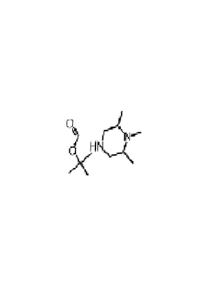 CC(C)(C)OC=O.CC1CNCC(C)N1C